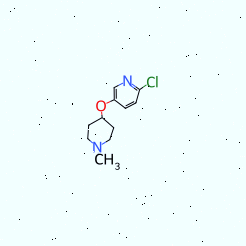 CN1CCC(Oc2ccc(Cl)nc2)CC1